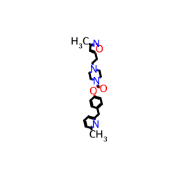 Cc1cc(CCN2CCN(C(=O)Oc3ccc(Cc4cccc(C)n4)cc3)CC2)on1